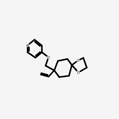 C=CC1(COc2ccncc2)CCC2(CC1)OCCO2